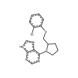 CCc1ccccc1OCC1CCCN1c1ncnc2[nH]cnc12